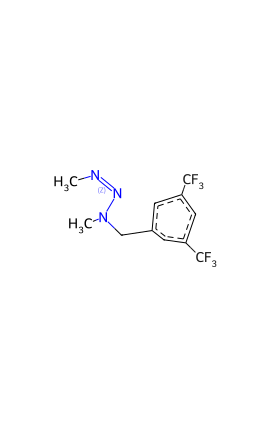 C/N=N\N(C)Cc1cc(C(F)(F)F)cc(C(F)(F)F)c1